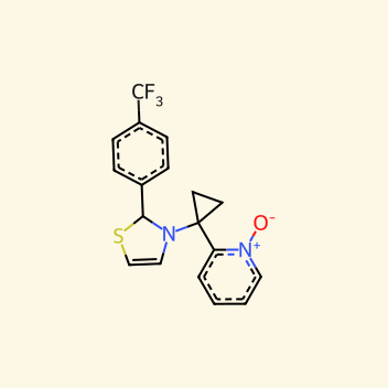 [O-][n+]1ccccc1C1(N2C=CSC2c2ccc(C(F)(F)F)cc2)CC1